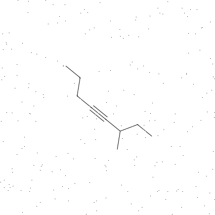 [CH2]CCC#CC(C)CC